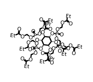 CCCC(=O)O[C@@H]1[C@@H](OP(=O)(OCOC(=O)CC)OCOC(=O)CC)[C@H](OP(=O)(OCOC(=O)CC)OCOC(=O)CC)[C@@H](OC(=O)CCC)[C@H](OP(=O)(OCOC(=O)CC)OCOC(=O)CC)[C@@H]1OP(=O)(OCOC(=O)CC)OCOC(=O)CC